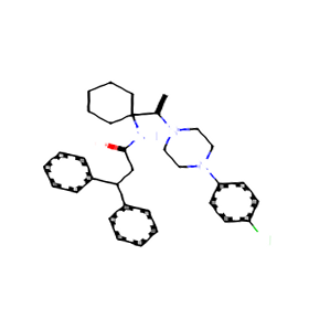 C=C(N1CCN(c2ccc(Cl)cc2)CC1)C1(NC(=O)CC(c2ccccc2)c2ccccc2)CCCCC1